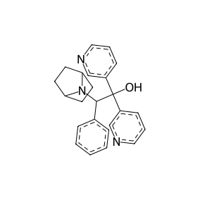 OC(c1cccnc1)(c1cccnc1)C(c1ccccc1)N1C2CCC1CC2